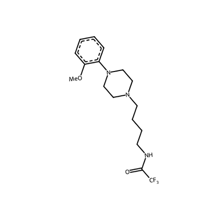 COc1ccccc1N1CCN(CCCCNC(=O)C(F)(F)F)CC1